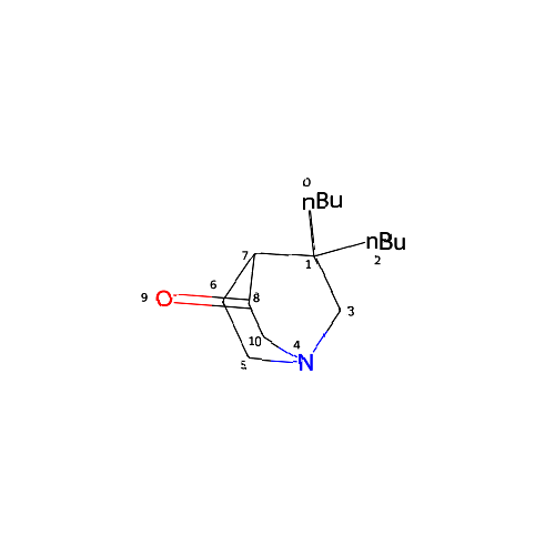 CCCCC1(CCCC)CN2CCC1C(=O)C2